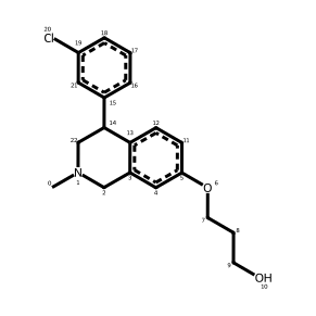 CN1Cc2cc(OCCCO)ccc2C(c2cccc(Cl)c2)C1